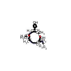 C=C/C=C\[C@H](C)[C@@H]1OC(=O)/C=C\C=C\[C@@H](C)[C@@H]2C[C@@H](/C=C\[C@H](C)[C@H](OCc3ccc(O)cc3)[C@@H](C)C[C@@H](C)CC[C@@H](O)[C@@H]1C)OC(C)(C)O2